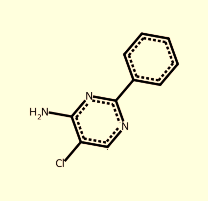 Nc1nc(-c2ccccc2)n[c]c1Cl